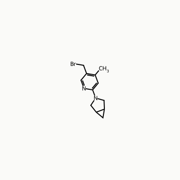 Cc1cc(N2CC3CC3C2)ncc1CBr